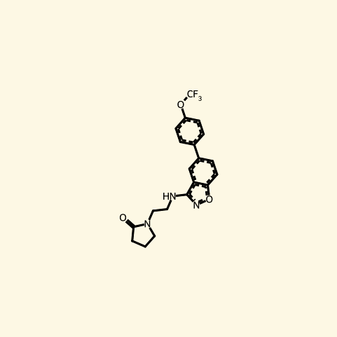 O=C1CCCN1CCNc1noc2ccc(-c3ccc(OC(F)(F)F)cc3)cc12